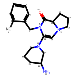 N#Cc1ccccc1CN1C(=O)C2CCCN2C=C1N1CCCC(N)C1